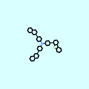 c1ccc2cc(-c3ccc(N(c4ccc(-c5ccc6ccccc6c5)cc4)c4ccc(-c5cccc6c5sc5ccccc56)cc4)cc3)ccc2c1